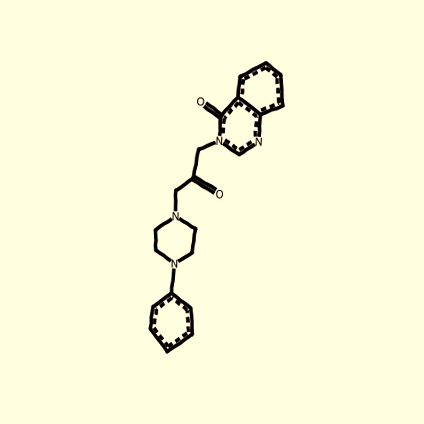 O=C(CN1CCN(c2ccccc2)CC1)Cn1cnc2ccccc2c1=O